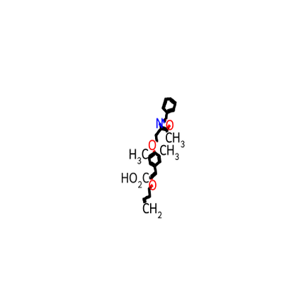 C=CCCO/C(=C/c1cc(C)c(OCCc2nc(-c3ccccc3)oc2C)c(C)c1)C(=O)O